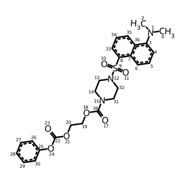 CN(C)c1cccc2c(S(=O)(=O)N3CCN(C(=O)OCCOC(=O)Oc4ccccc4)CC3)cccc12